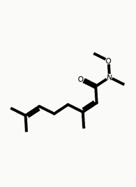 CON(C)C(=O)C=C(C)CCC=C(C)C